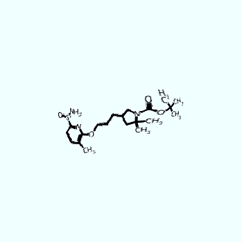 Cc1ccc([S+](N)[O-])nc1OCCCC1CN(C(=O)OC(C)(C)C)C(C)(C)C1